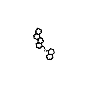 c1ccc2c(c1)CCCC2OCc1cccc2c1ccc1c3ccccc3ccc21